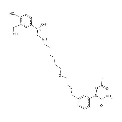 CC(=O)ON(C(N)=O)c1cccc(COCCOCCCCCCNC[C@@H](O)c2ccc(O)c(CO)c2)c1